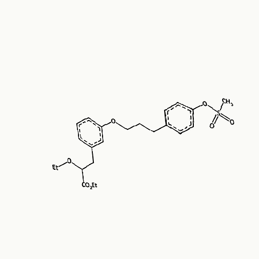 CCOC(=O)C(Cc1cccc(OCCCc2ccc(OS(C)(=O)=O)cc2)c1)OCC